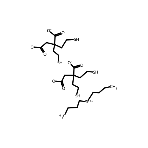 CCC[CH2][Sn+4][CH2]CCC.O=C([O-])CC(CCS)(CCS)C(=O)[O-].O=C([O-])CC(CCS)(CCS)C(=O)[O-]